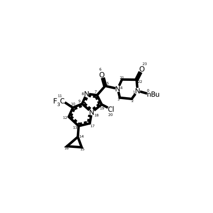 CCCCN1CCN(C(=O)c2nc3c(C(F)(F)F)cc(C4CC4)cn3c2Cl)CC1=O